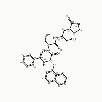 CC(C)C[C@H](NC(=O)[C@H](Cc1cccc2ccccc12)NC(=O)c1cnccn1)C(=O)N[C@H](CO)C[C@@H]1CCNC1=O